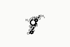 COC(=O)Nc1ccc2c(c1)NC(=O)C(C)CCC[C@H](N1CC[C@@H](c3c(F)ccc(Cl)c3F)OC1=O)c1cc-2cnc1F